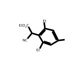 CCOC(=O)C(C#N)c1c(CC)cc(C)cc1CC